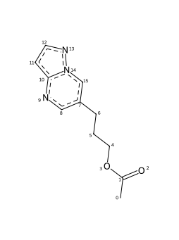 CC(=O)OCCCc1cnc2ccnn2c1